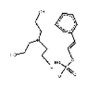 O=P(O)(O)OC=Cc1ccccc1.OCCN(CCO)CCO